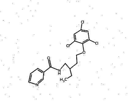 CCC(CCOc1c(Cl)cc(Cl)cc1Cl)CNC(=O)c1cccnc1